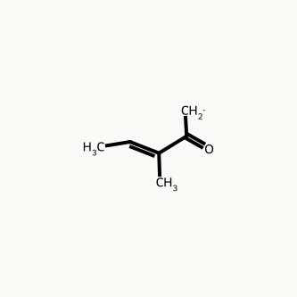 [CH2]C(=O)C(C)=CC